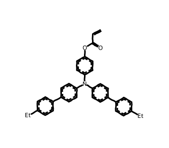 C=CC(=O)Oc1ccc(N(c2ccc(-c3ccc(CC)cc3)cc2)c2ccc(-c3ccc(CC)cc3)cc2)cc1